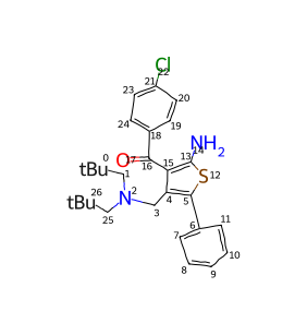 CC(C)(C)CN(Cc1c(-c2ccccc2)sc(N)c1C(=O)c1ccc(Cl)cc1)CC(C)(C)C